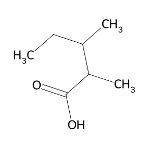 CCC(C)C(C)C(=O)O